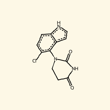 O=C1CCN(c2c(Cl)ccc3[nH]ccc23)C(=O)N1